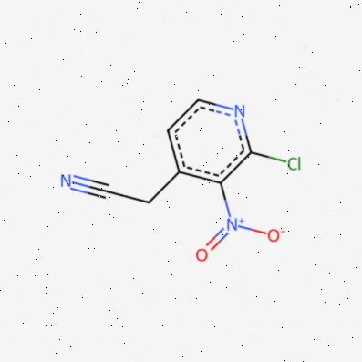 N#CCc1ccnc(Cl)c1[N+](=O)[O-]